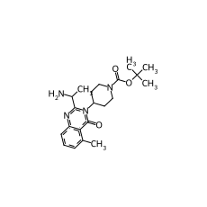 Cc1cccc2nc(C(C)N)n(C3CCN(C(=O)OC(C)(C)C)CC3)c(=O)c12